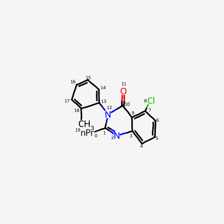 CCCc1nc2cccc(Cl)c2c(=O)n1-c1ccccc1C